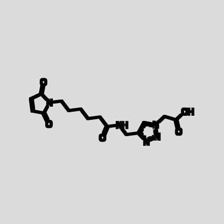 O=C(O)Cn1cc(CNC(=O)CCCCCN2C(=O)C=CC2=O)nn1